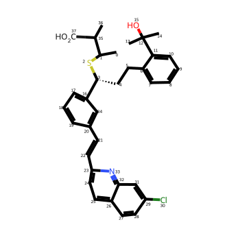 CC(S[C@H](CCc1ccccc1C(C)(C)O)c1cccc(C=Cc2ccc3ccc(Cl)cc3n2)c1)C(C)C(=O)O